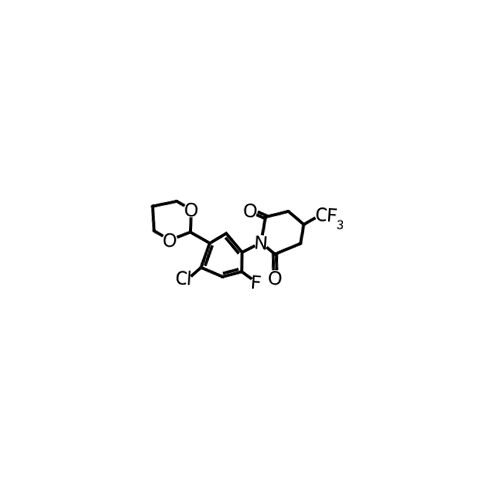 O=C1CC(C(F)(F)F)CC(=O)N1c1cc(C2OCCCO2)c(Cl)cc1F